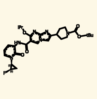 CC(C)Oc1nc2nc(C3CCN(C(=O)OC(C)(C)C)CC3)cn2cc1C(=O)Nc1cccn([C@H]2C[C@H]2F)c1=O